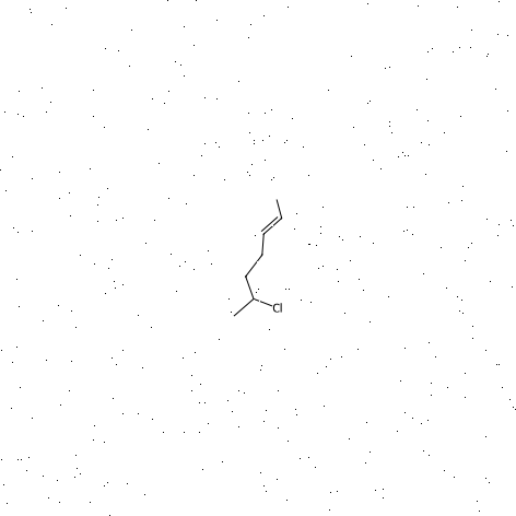 CC=CCCC(C)Cl